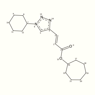 O=C(/C=C/c1cn(C2CCCCC2)nn1)OC1CCCCCC1